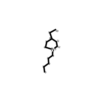 CCCCCN1CCC(CC)CC1